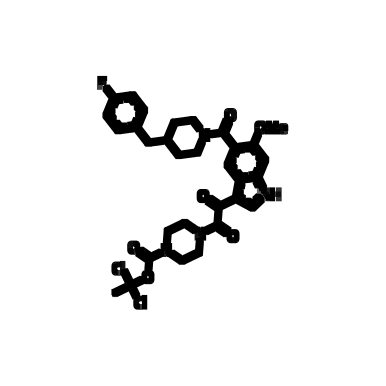 COc1cc2[nH]cc(C(=O)C(=O)N3CCN(C(=O)OC(C)(Cl)Cl)CC3)c2cc1C(=O)N1CCC(Cc2ccc(F)cc2)CC1